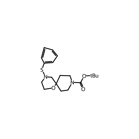 CC(C)(C)OC(=O)N1CCC2(CC1)CN(Sc1ccccc1)CCO2